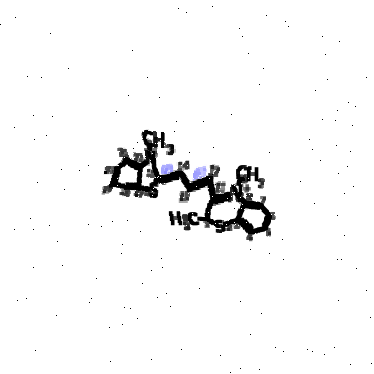 CC1Sc2ccccc2[N+](C)=C1/C=C/C=C1\Sc2ccccc2N1C